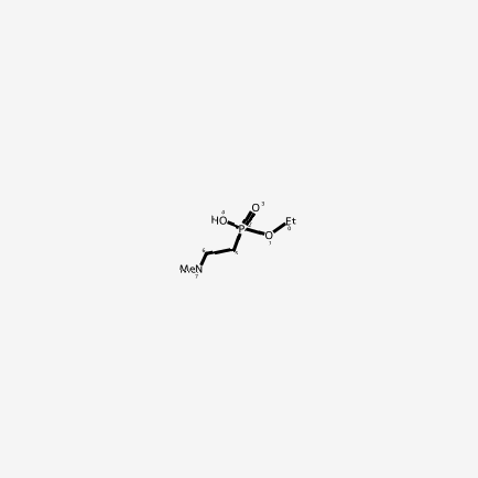 CCOP(=O)(O)CCNC